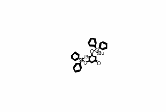 CC(C)(C)[Si](OC1CC(=O)CC(O[Si](c2ccccc2)(c2ccccc2)C(C)(C)C)C1)(c1ccccc1)c1ccccc1